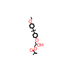 C=C(C)C(=O)OCC(O)COc1ccc(C(C)(C)c2ccc(OCC)cc2)cc1